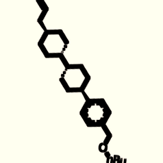 C=CC[C@H]1CC[C@H]([C@H]2CC[C@H](c3ccc(COCCCC)cc3)CC2)CC1